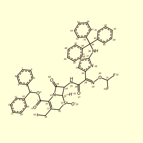 O=C(OC(c1ccccc1)c1ccccc1)C1=C(CI)C[S+]([O-])[C@@H]2C(NC(=O)/C(=N/OC(F)F)c3csc(NC(c4ccccc4)(c4ccccc4)c4ccccc4)n3)C(=O)N12